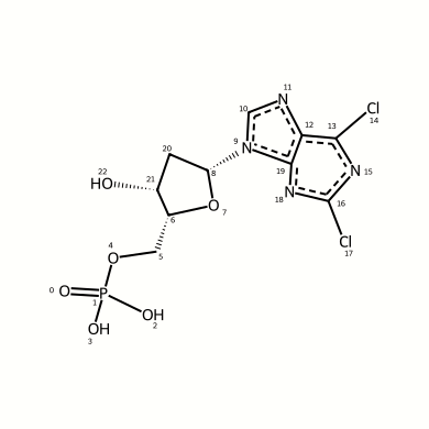 O=P(O)(O)OC[C@H]1O[C@@H](n2cnc3c(Cl)nc(Cl)nc32)C[C@H]1O